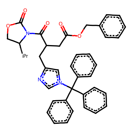 CC(C)C1COC(=O)N1C(=O)C(CC(=O)OCc1ccccc1)Cc1cn(C(c2ccccc2)(c2ccccc2)c2ccccc2)cn1